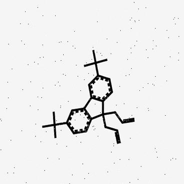 C=CCC1(CC=C)c2ccc(C(C)(C)C)cc2-c2cc(C(C)(C)C)ccc21